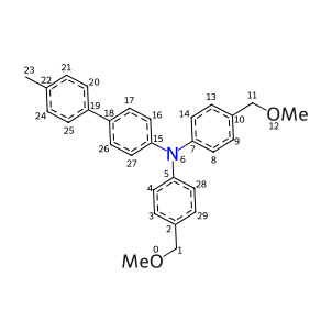 COCc1ccc(N(c2ccc(COC)cc2)c2ccc(-c3ccc(C)cc3)cc2)cc1